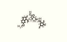 COc1ccc2ncc(F)c(C(F)CCC3(CC(=O)O)CCN(CCNc4cc(F)cc(F)c4F)CC3)c2c1